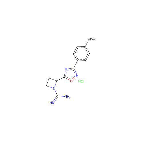 CCCCCCCCCCc1ccc(-c2noc(C3CCN3C(=N)N)n2)cc1.Cl